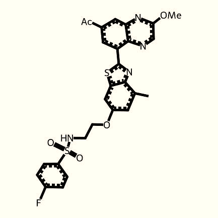 COc1cnc2c(-c3nc4c(C)cc(OCCNS(=O)(=O)c5ccc(F)cc5)cc4s3)cc(C(C)=O)cc2n1